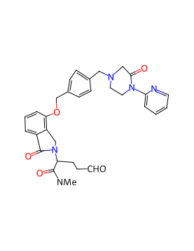 CNC(=O)C(CCC=O)N1Cc2c(OCc3ccc(CN4CCN(c5ccccn5)C(=O)C4)cc3)cccc2C1=O